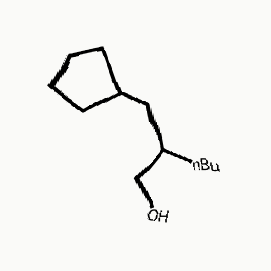 CCCCC(CO)CC1CCCC1